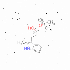 Cc1[nH]c2ccccc2c1CC[C@@H](O)CO[Si](C)(C)C(C)(C)C